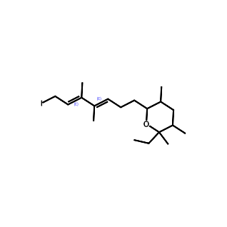 CCC1(C)OC(CC/C=C(C)/C(C)=C/CI)C(C)CC1C